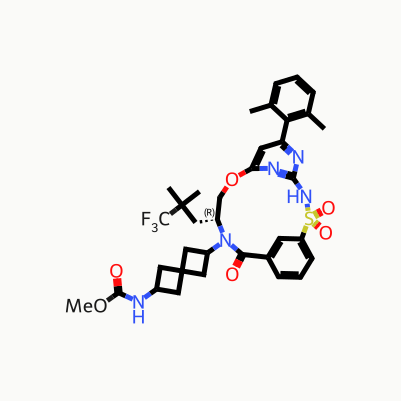 COC(=O)NC1CC2(C1)CC(N1C(=O)c3cccc(c3)S(=O)(=O)Nc3nc(cc(-c4c(C)cccc4C)n3)OC[C@H]1CC(C)(C)C(F)(F)F)C2